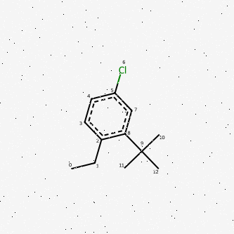 CCc1ccc(Cl)cc1C(C)(C)C